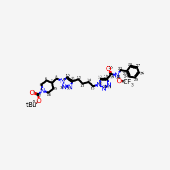 CC(C)(C)OC(=O)N1CCC(Cn2cc(CCCCn3cc(C(=O)N(Cc4ccccc4)OC(F)(F)F)nn3)nn2)CC1